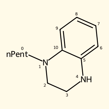 CCCCCN1CCNc2ccccc21